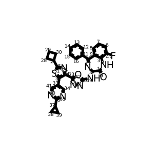 O=C1Nc2c(F)cccc2C(c2ccccc2)=N[C@H]1Nc1nnc(-c2nc(C3CCC3)sc2-c2cnc(C3CC3)nc2)o1